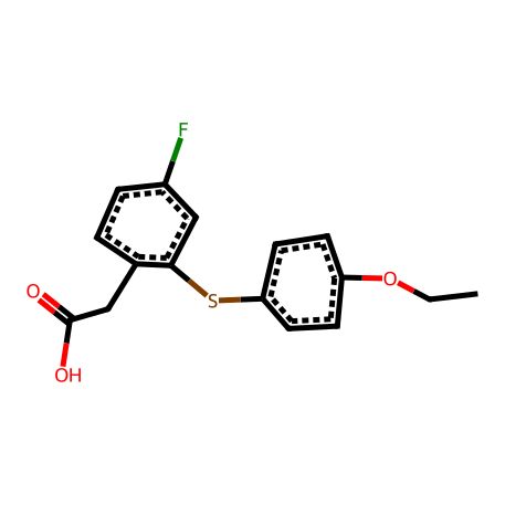 CCOc1ccc(Sc2cc(F)ccc2CC(=O)O)cc1